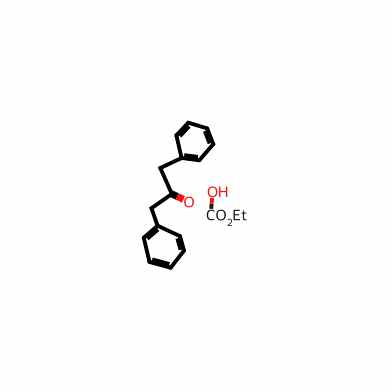 CCOC(=O)O.O=C(Cc1ccccc1)Cc1ccccc1